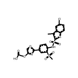 Cc1c(S(=O)(=O)Nc2ccc(-c3nc(OC(=O)O)co3)cc2S(C)(=O)=O)sc2ccc(Cl)cc12